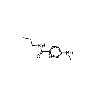 CCCNC(=O)c1ccc(NC)cn1